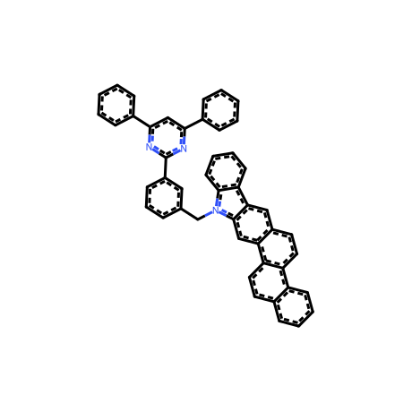 c1ccc(-c2cc(-c3ccccc3)nc(-c3cccc(Cn4c5ccccc5c5cc6ccc7c8ccccc8ccc7c6cc54)c3)n2)cc1